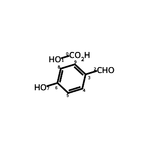 O=C(O)O.O=Cc1ccc(O)cc1